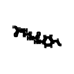 CCc1ccc(NC(=O)NCCNC(C)=O)cc1